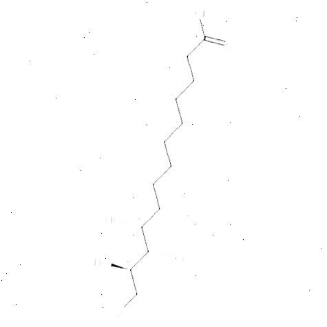 O=C(O)CCCCCCC[C@H](O)[C@@H](O)[C@H](O)[C@H](O)CO